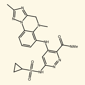 CNC(=O)c1nnc(NS(=O)(=O)C2CC2)cc1Nc1cccc2c1N(C)Cc1nc(C)nn1-2